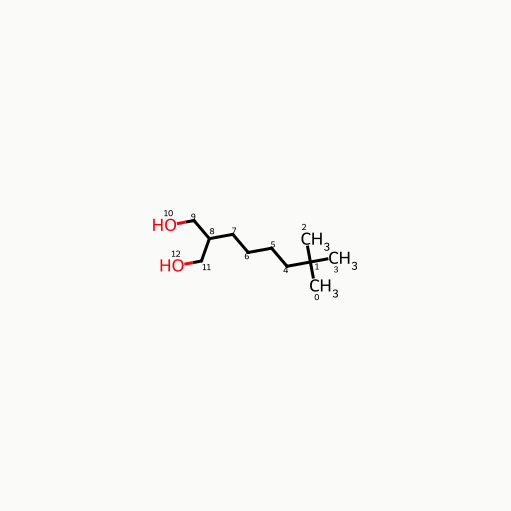 CC(C)(C)CCCCC(CO)CO